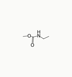 CCNC(=O)OC